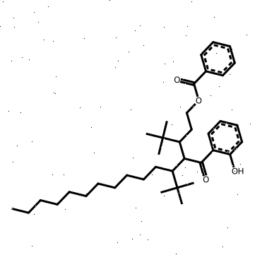 CCCCCCCCCCCC(C(C(=O)c1ccccc1O)C(CCOC(=O)c1ccccc1)C(C)(C)C)C(C)(C)C